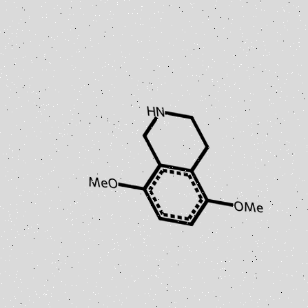 COc1ccc(OC)c2c1CCNC2